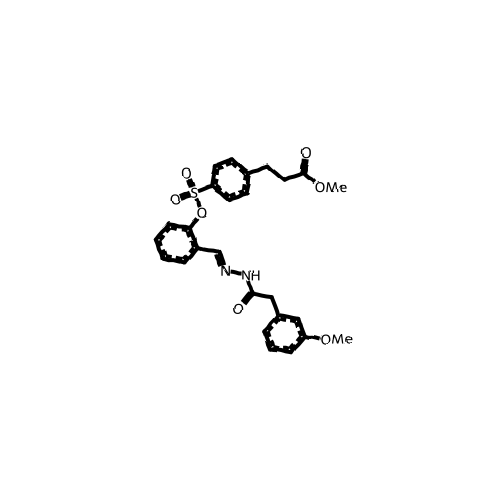 COC(=O)CCc1ccc(S(=O)(=O)Oc2ccccc2C=NNC(=O)Cc2cccc(OC)c2)cc1